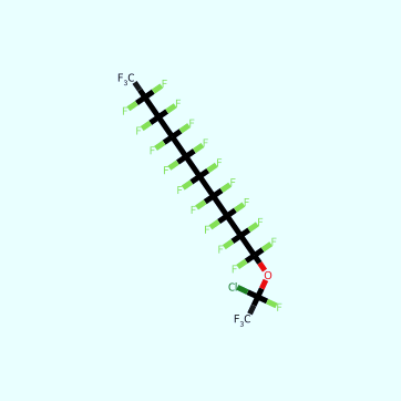 FC(F)(F)C(F)(Cl)OC(F)(F)C(F)(F)C(F)(F)C(F)(F)C(F)(F)C(F)(F)C(F)(F)C(F)(F)C(F)(F)C(F)(F)F